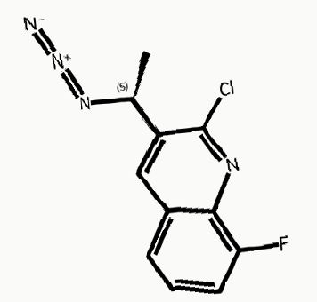 C[C@H](N=[N+]=[N-])c1cc2cccc(F)c2nc1Cl